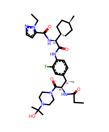 CCC(=O)N[C@@H](C(=O)N1CCN(C(C)(C)O)CC1)[C@@H](C)c1ccc(NC(=O)[C@@H](NC(=O)c2ccnn2CC)[C@H]2CC[C@H](C)CC2)c(F)c1